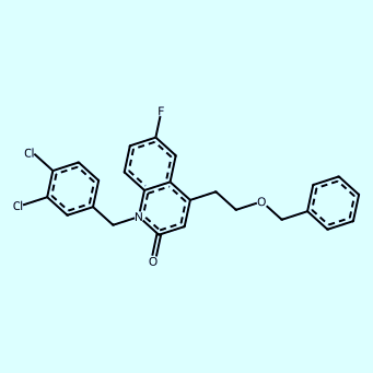 O=c1cc(CCOCc2ccccc2)c2cc(F)ccc2n1Cc1ccc(Cl)c(Cl)c1